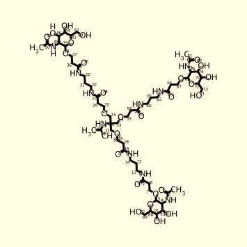 CC(=O)NC1C(OCCC(=O)NCCCNC(=O)CCOCC(COCCC(=O)NCCCNC(=O)CCOC2OC(CO)C(O)C(O)C2NC(C)=O)(COCCC(=O)NCCCNC(=O)CCOC2OC(CO)C(O)C(O)C2NC(C)=O)NC(C)C)OC(CO)C(O)C1O